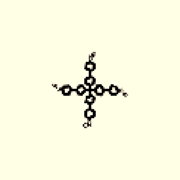 O=Nc1ccc(-c2ccc(C(c3ccc(-c4ccc(N=O)cc4)cc3)(c3ccc(-c4ccc(N=O)cc4)cc3)c3ccc(-c4ccc(N=O)cc4)cc3)cc2)cc1